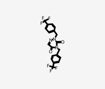 O=c1cnn(Cc2ccc(C(F)(F)F)cc2)c(=O)n1Cc1ccc(C(F)(F)F)cc1